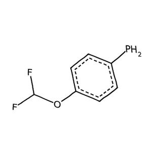 FC(F)Oc1ccc(P)cc1